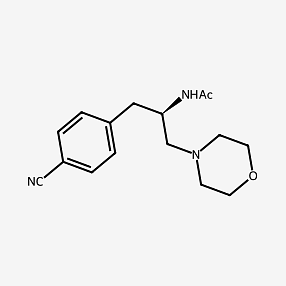 CC(=O)N[C@H](Cc1ccc(C#N)cc1)CN1CCOCC1